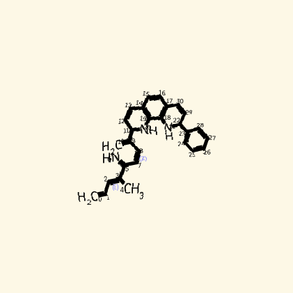 C=C/C=C(\C)C(=N)/C=C\C(=C)C1C=Cc2ccc3c(c2N1)NC(c1ccccc1)C=C3